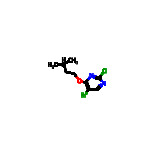 C[SiH](C)CCOc1nc(Cl)ncc1Br